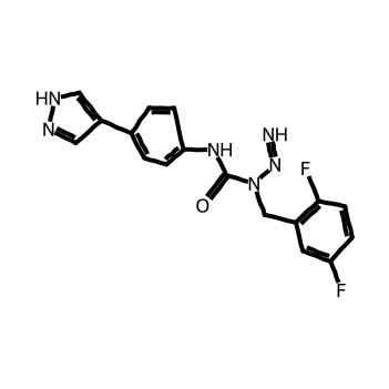 N=NN(Cc1cc(F)ccc1F)C(=O)Nc1ccc(-c2cn[nH]c2)cc1